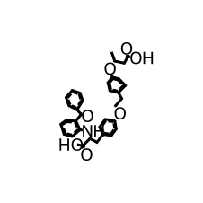 CC(CC(=O)O)Oc1ccc(CCOc2ccc(CC(Nc3ccccc3C(=O)c3ccccc3)C(=O)O)cc2)cc1